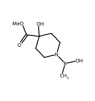 COC(=O)C1(O)CCN(B(C)O)CC1